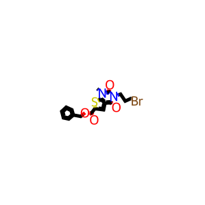 Cn1c(=O)n(CCCBr)c(=O)c2cc(C(=O)OCc3ccccc3)sc21